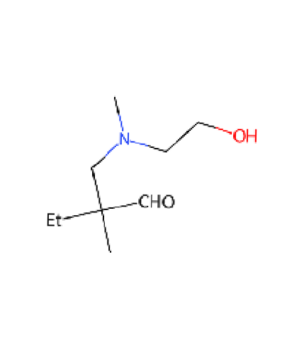 CCC(C)(C=O)CN(C)CCO